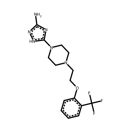 Nc1n[nH]c(N2CCN(CCOc3ccccc3C(F)(F)F)CC2)n1